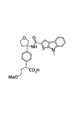 COCCC(C(=O)O)c1ccc(C2(NC(=O)c3cc4c5ccccc5n(C)c4s3)CCOC2)cc1